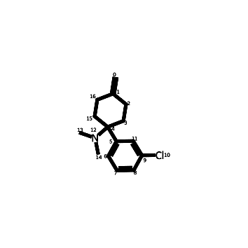 C=C1CCC(c2cccc(Cl)c2)(N(C)C)CC1